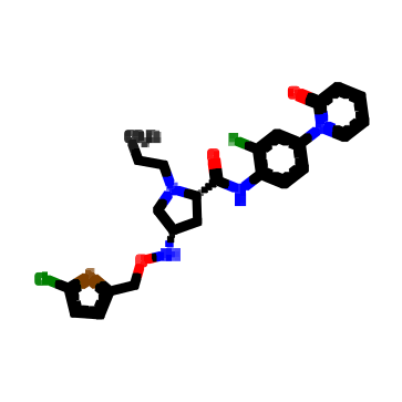 CCOC(=O)CCN1C[C@@H](NOCc2ccc(Cl)s2)C[C@H]1C(=O)Nc1ccc(-n2ccccc2=O)cc1F